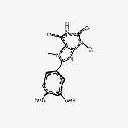 CCn1c(=O)[nH]c(=O)c2c1nc(-c1ccc(OC)c(OC)c1)n2C